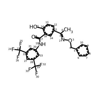 C/C(=N\OCc1ccccc1)c1ccc(O)c(C(=O)Nc2cc(C(F)(F)F)cc(C(F)(F)F)c2)c1